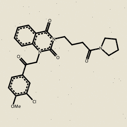 COc1ccc(C(=O)Cn2c(=O)n(CCCC(=O)N3CCCC3)c(=O)c3ccccc32)cc1Cl